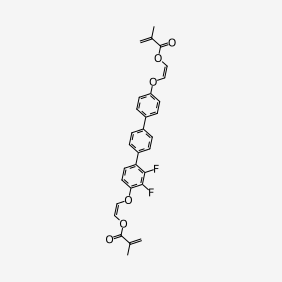 C=C(C)C(=O)O/C=C\Oc1ccc(-c2ccc(-c3ccc(O/C=C\OC(=O)C(=C)C)c(F)c3F)cc2)cc1